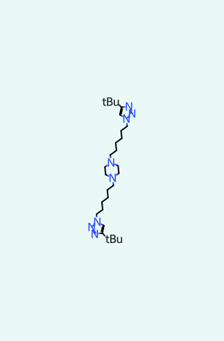 CC(C)(C)c1cn(CCCCCCN2CCN(CCCCCCn3cc(C(C)(C)C)nn3)CC2)nn1